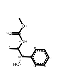 COC(=O)NC(C)[C@@H](O)c1ccccc1